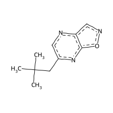 CC(C)(C)Cc1cnc2cnoc2n1